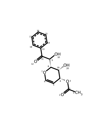 CC(=O)O[C@@H]1C=CO[C@H](C(O)C(=O)c2ccccc2)[C@@H]1O